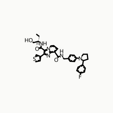 CC[C@@H](CO)NC(=O)c1c(-c2ccsc2)nc2c(C(=O)NCc3ccc(N4CCCC4c4ccc(F)cc4)cc3)cccn12